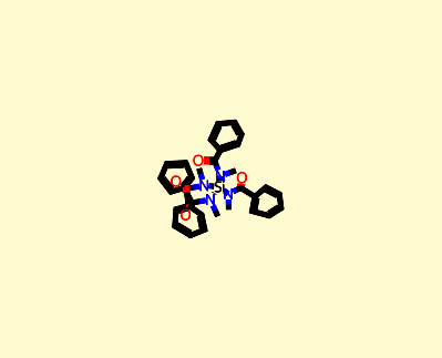 CN(C(=O)c1ccccc1)[Si](N(C)C(=O)c1ccccc1)(N(C)C(=O)c1ccccc1)N(C)C(=O)c1ccccc1